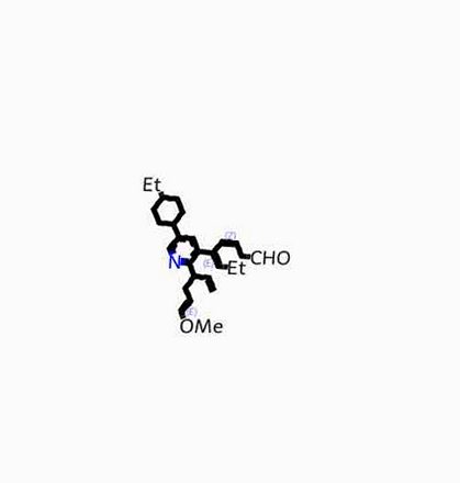 C=CC(C/C=C/OC)c1ncc(C2CCC(CC)CC2)cc1C(/C=C\CC=O)=C/CC